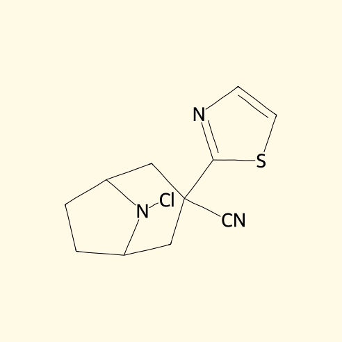 N#CC1(c2nccs2)CC2CCC(C1)N2Cl